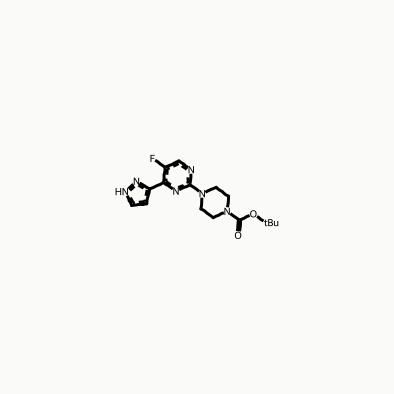 CC(C)(C)OC(=O)N1CCN(c2ncc(F)c(-c3cc[nH]n3)n2)CC1